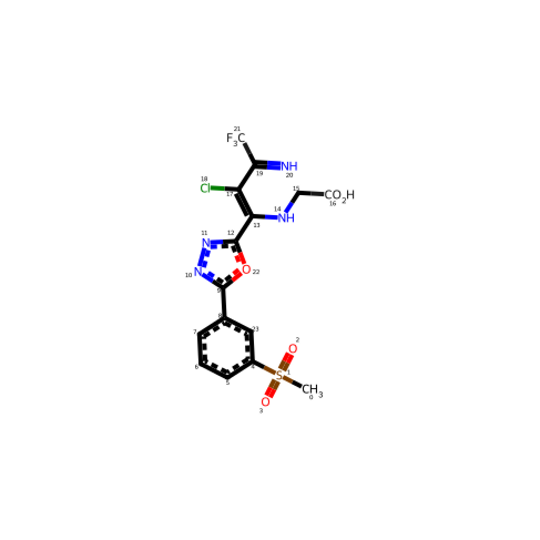 CS(=O)(=O)c1cccc(-c2nnc(/C(NCC(=O)O)=C(\Cl)C(=N)C(F)(F)F)o2)c1